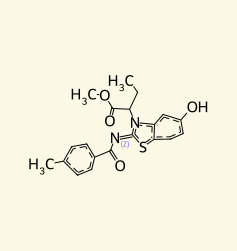 CCC(C(=O)OC)n1/c(=N/C(=O)c2ccc(C)cc2)sc2ccc(O)cc21